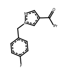 CC(C)C(=O)c1cnn(Cc2ccc(F)cc2)c1